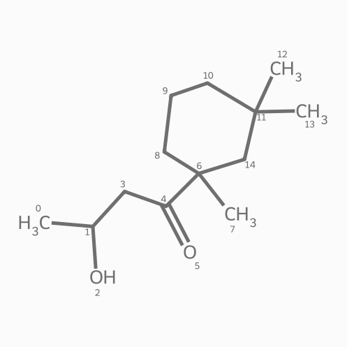 CC(O)CC(=O)C1(C)CCCC(C)(C)C1